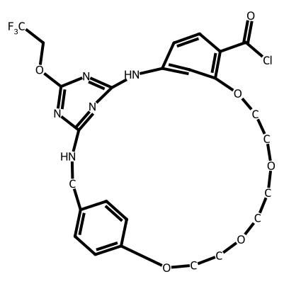 O=C(Cl)c1ccc2cc1OCCOCCOCCOc1ccc(cc1)CNc1nc(nc(OCC(F)(F)F)n1)N2